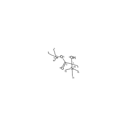 CC(O)(C(=O)O[Si](C)(C)C)[Si](C)(C)C